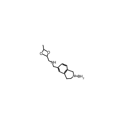 BN1CCc2cc(CNCC3OC(C)O3)ccc2C1